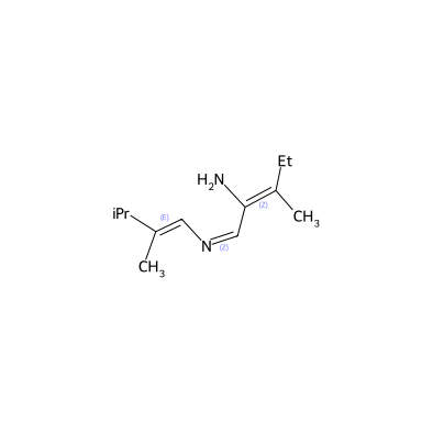 CC/C(C)=C(N)/C=N\C=C(/C)C(C)C